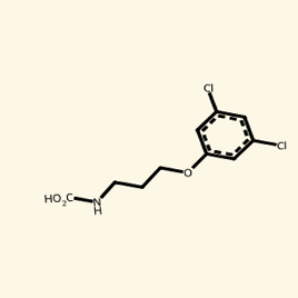 O=C(O)NCCCOc1cc(Cl)cc(Cl)c1